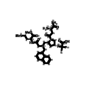 COC(=O)[C@H](CCSC)NC(=O)CN(Cc1cccc2ccccc12)C[C@@H]1CCCN1C(=O)C[C@H](N)C(N)=O.O=C(O)C(F)(F)F